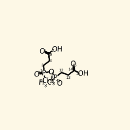 CP(=O)(CCC(=O)O)OP(C)(=O)CCC(=O)O